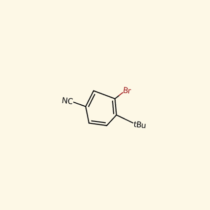 CC(C)(C)c1ccc(C#N)cc1Br